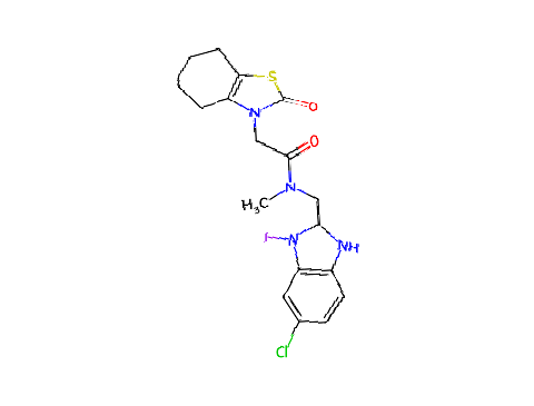 CN(CC1Nc2ccc(Cl)cc2N1I)C(=O)Cn1c2c(sc1=O)CCCC2